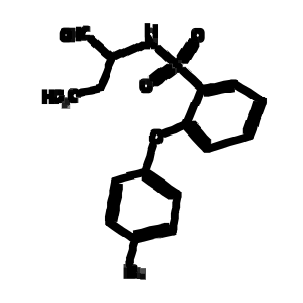 CCC(C)c1ccc(Oc2ccccc2S(=O)(=O)NC(C=O)CC(=O)O)cc1